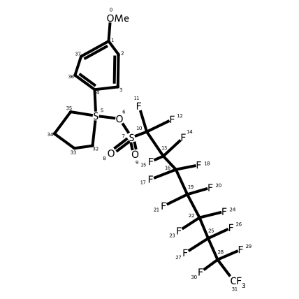 COc1ccc(S2(OS(=O)(=O)C(F)(F)C(F)(F)C(F)(F)C(F)(F)C(F)(F)C(F)(F)C(F)(F)C(F)(F)F)CCCC2)cc1